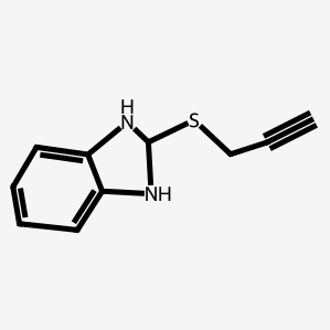 C#CCSC1Nc2ccccc2N1